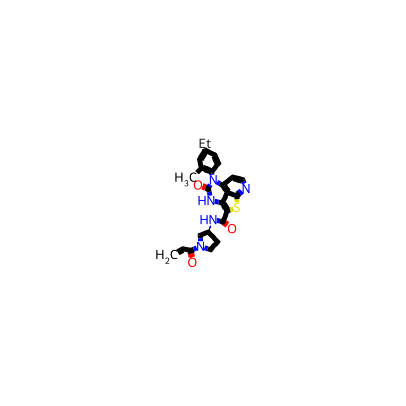 C=CC(=O)N1CC[C@@H](NC(=O)c2sc3nccc4c3c2NC(=O)N4c2ccc(CC)cc2C)C1